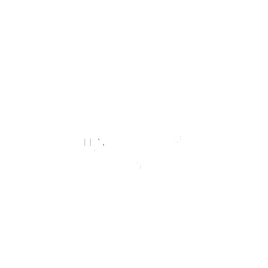 CC([O])CC(N)=O